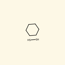 C1CCCCC1.SS